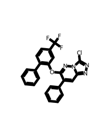 FC(F)(F)c1ccc(-c2ccccc2)c(Oc2nn3c(Cl)nnc3cc2-c2ccccc2)c1